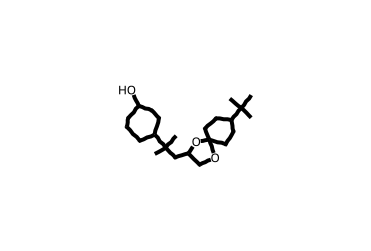 CC(C)(C)C1CCC2(CC1)OCC(CC(C)(C)C1CCCC(O)CC1)O2